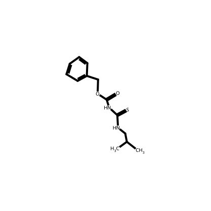 CC(C)CNC(=S)NC(=O)OCc1ccccc1